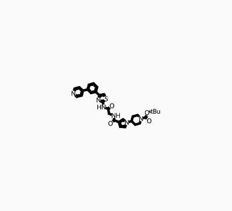 CC(C)(C)OC(=O)N1CCC(n2ccc(C(=O)NCC(=O)Nc3nc(-c4cccc(-c5ccncc5)c4)cs3)c2)CC1